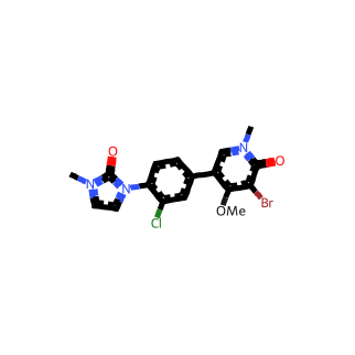 COc1c(-c2ccc(-n3ccn(C)c3=O)c(Cl)c2)cn(C)c(=O)c1Br